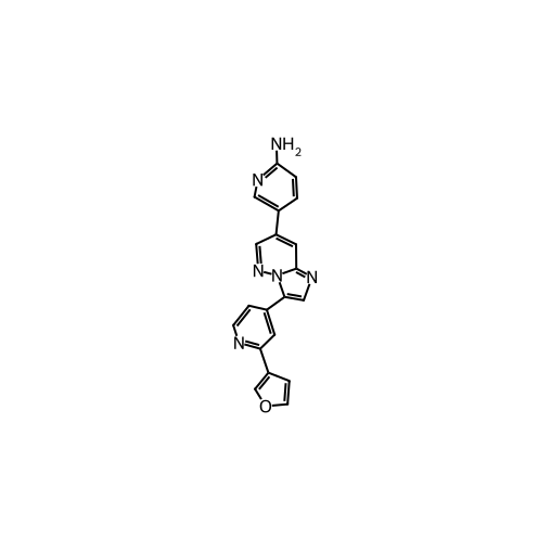 Nc1ccc(-c2cnn3c(-c4ccnc(-c5ccoc5)c4)cnc3c2)cn1